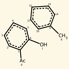 CC(=O)c1ccccc1O.Cc1ccccc1